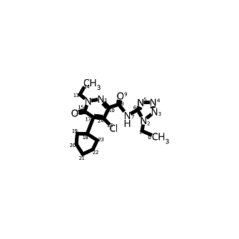 CCn1nnnc1NC(=O)c1nn(CC)c(=O)c(C2CCCCC2)c1Cl